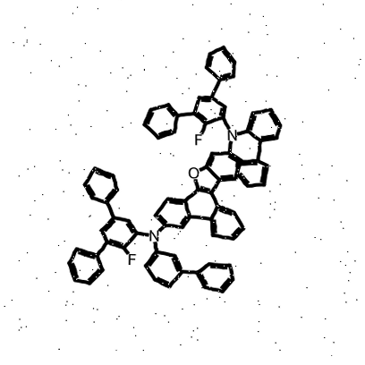 Fc1c(-c2ccccc2)cc(-c2ccccc2)cc1N(c1cccc(-c2ccccc2)c1)c1ccc2c(c1)c1ccccc1c1c3ccc(N(c4ccccc4-c4ccccc4)c4cc(-c5ccccc5)cc(-c5ccccc5)c4F)cc3oc21